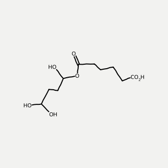 O=C(O)CCCCC(=O)OC(O)CCC(O)O